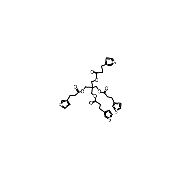 O=C(CCc1ccsc1)OCC(COC(=O)CCc1ccsc1)(COC(=O)CCc1ccsc1)COC(=O)CCc1ccsc1